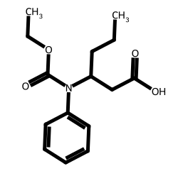 CCCC(CC(=O)O)N(C(=O)OCC)c1ccccc1